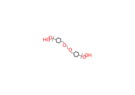 CC(C)(OO)c1ccc(COCCOCc2ccc(C(C)(C)OO)cc2)cc1